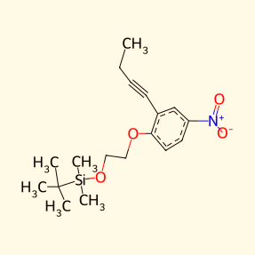 CCC#Cc1cc([N+](=O)[O-])ccc1OCCO[Si](C)(C)C(C)(C)C